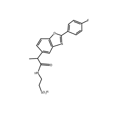 CC(C(=O)NCCS(=O)(=O)O)c1ccc2oc(-c3ccc(F)cc3)nc2c1